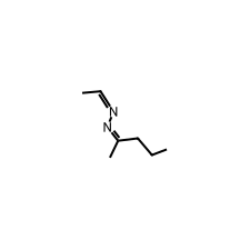 C/C=N\N=C(\C)CCC